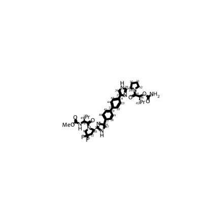 COC(=O)N[C@H](C(=O)N1CC(F)(F)C[C@H]1c1nc(-c2ccc(-c3ccc(-c4c[nH]c([C@@H]5CCCN5C(=O)[C@@H](OC(N)=O)C(C)C)n4)cc3)cc2)c[nH]1)C(C)C